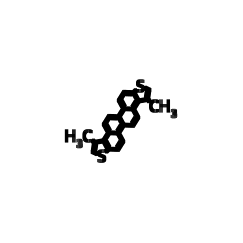 Cc1csc2ccc3c4ccc5c(ccc6scc(C)c65)c4ccc3c12